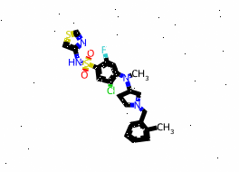 Cc1ccccc1CN1CCC(N(C)c2cc(F)c(S(=O)(=O)Nc3cscn3)cc2Cl)C1